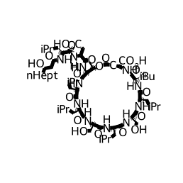 CCCCCCCC(O)CC(=O)N[C@H](CC(C)C)C(=O)NC(CC(=O)O)C(=O)N[C@@H]1C(=O)N[C@H](CC(C)C)C(=O)N[C@H](CC(C)C)C(=O)N[C@H](CO)C(=O)N[C@H](CC(C)C)C(=O)N[C@H](CO)C(=O)N[C@H](CC(C)C)C(=O)N[C@@H]([C@@H](C)CC)C(=O)NC(C(=O)O)CC(=O)O[C@@H]1C